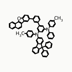 Cc1ccc(N(c2ccccc2)c2cc(-c3cccc(-c4ccc5oc6c7ccccc7ccc6c5c4)c3)cc(N(c3ccc(C)cc3)c3ccc4c(c3)-c3ccccc3C4(c3ccccc3)c3ccccc3)c2)cc1